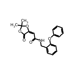 CC1(C)OC(=O)C(=CC(=O)NCc2ccccc2Oc2ccccc2)O1